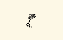 Cc1nc(C#Cc2cccc(Cl)c2)cn1-c1cnccn1